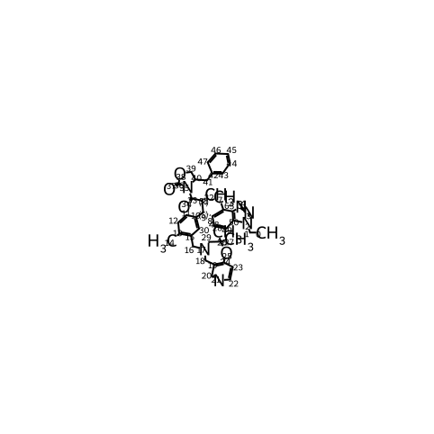 CCn1nnc2c(C)c([C@H](c3ccc(C)c(CN4Cc5cnccc5OC(C)(C)C4)c3)[C@@H](C)C(=O)N3C(=O)OCC3Cc3ccccc3)ccc21